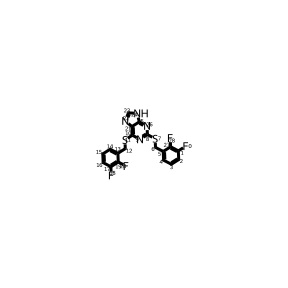 Fc1cccc(CSc2nc(SCc3cccc(F)c3F)c3n[c][nH]c3n2)c1F